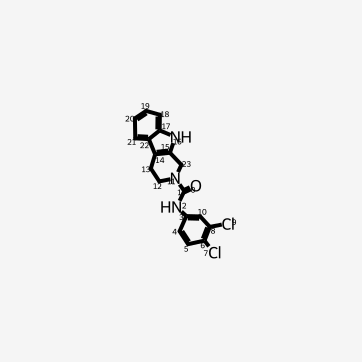 O=C(Nc1ccc(Cl)c(Cl)c1)N1CCc2c([nH]c3ccccc23)C1